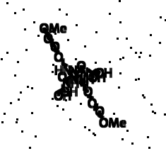 COCCOCCOCCOCCCNc1nc(C(=O)NCC(O)CO)c(NCCCOCCOCCOCCOC)nc1C(=O)NCC(O)CO